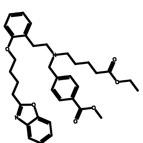 CCOC(=O)CCCCN(CCc1ccccc1OCCCCc1nc2ccccc2o1)Cc1ccc(C(=O)OC)cc1